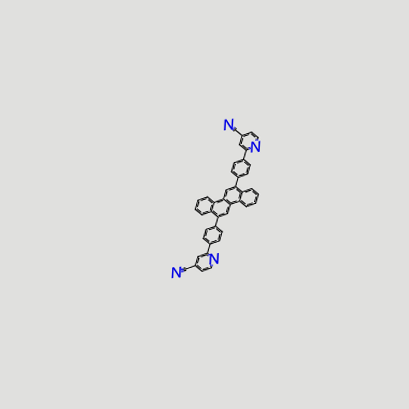 N#Cc1ccnc(-c2ccc(-c3cc4c5ccccc5c(-c5ccc(-c6cc(C#N)ccn6)cc5)cc4c4ccccc34)cc2)c1